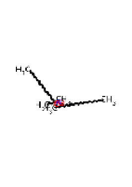 CCCCCCCCCCCCCCCCCCC(CCC)ON(C)OC(CCC)CCCCCCCCCCCCCCCCCC